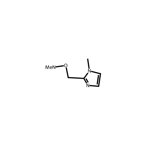 CNOCc1nccn1C